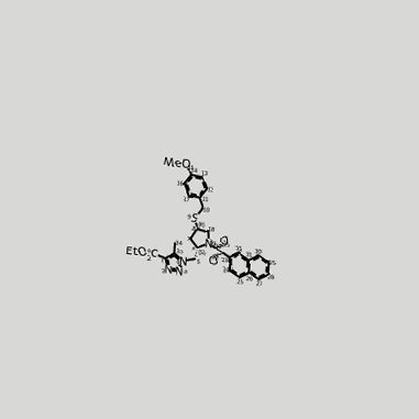 CCOC(=O)c1nnn(C[C@@H]2C[C@@H](SCc3ccc(OC)cc3)CN2S(=O)(=O)c2ccc3ccccc3c2)c1C